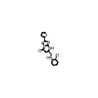 CCc1ccccc1NCc1cc(=O)n2nc(-c3cccs3)nc2[nH]1